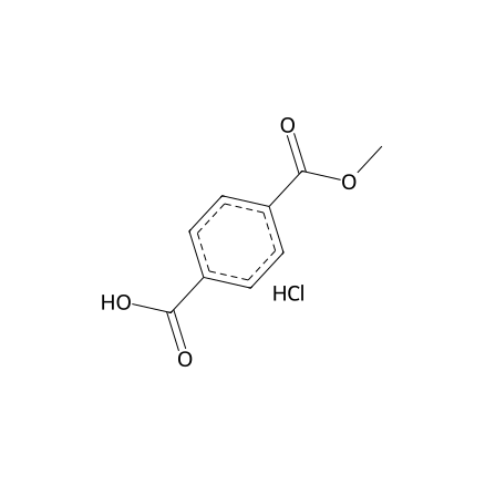 COC(=O)c1ccc(C(=O)O)cc1.Cl